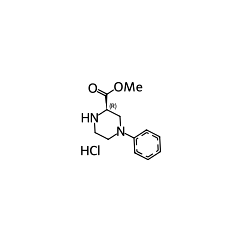 COC(=O)[C@H]1CN(c2ccccc2)CCN1.Cl